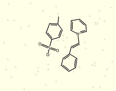 C(=C[n+]1ccccc1)c1ccccc1.Cc1ccc(S(=O)(=O)[O-])cc1